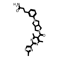 Cc1nc(-c2nc(C)c(C(=O)N3CC4CN(c5cccc(CCC(N)=O)c5)CC4C3)c(C)n2)cs1